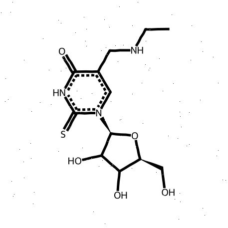 CCNCc1cn([C@H]2O[C@@H](CO)C(O)C2O)c(=S)[nH]c1=O